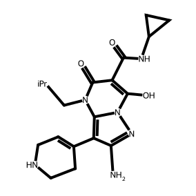 CC(C)Cn1c(=O)c(C(=O)NC2CC2)c(O)n2nc(N)c(C3=CCNCC3)c12